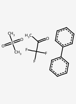 CC(=O)C(F)(F)F.CS(C)(=O)=O.c1ccc(-c2ccccc2)cc1